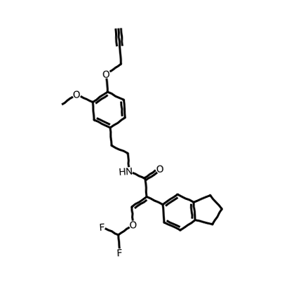 C#CCOc1ccc(CCNC(=O)/C(=C/OC(F)F)c2ccc3c(c2)CCC3)cc1OC